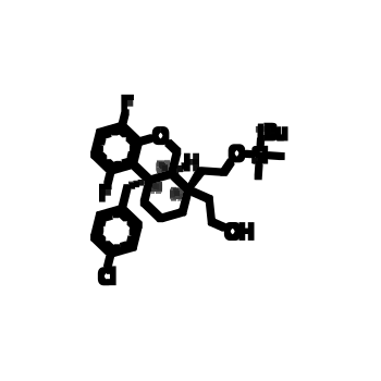 CC(C)(C)[Si](C)(C)OCC[C@@]1(CCO)CCC[C@@]2(Cc3ccc(Cl)cc3)c3c(F)ccc(F)c3OC[C@@H]12